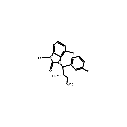 CCn1c(=O)n([C@@H](c2cccc(F)c2)[C@@H](O)CNC)c2c(F)cccc21